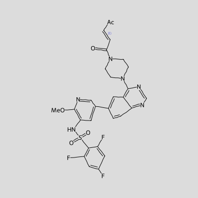 COc1ncc(-c2ccc3ncnc(N4CCN(C(=O)/C=C/C(C)=O)CC4)c3c2)cc1NS(=O)(=O)c1c(F)cc(F)cc1F